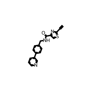 C#Cc1nc(C(=O)NCc2ccc(-c3cccnc3)cc2)cs1